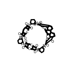 O=C1c2ccc3c4ccc5c6c7ccc(c8ccc(c2c38)C(=O)N1[C@@H]1CCCCC1n1c(=O)c2cc3c(=O)n(c(=O)c3cc2c1=O)[C@@H]1CCCC[C@H]1n1c(=O)c2cc3c(=O)n(c(=O)c3cc2c1=O)[C@@H]1CCCC[C@H]1N(C5=O)C7=O)c64